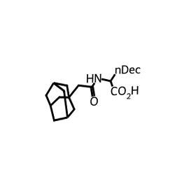 CCCCCCCCCCC(NC(=O)CC12CC3CC(CC(C3)C1)C2)C(=O)O